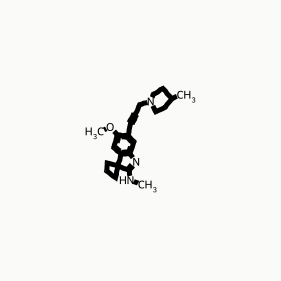 CNC1=Nc2cc(C#CCN3CCC(C)CC3)c(OC)cc2C12CCC2